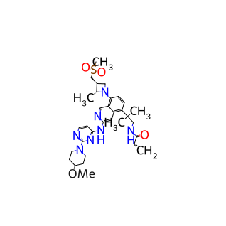 C=CC(=O)NCC(C)(C)c1ccc(N2C[C@H](CS(C)(=O)=O)[C@H]2C)c2cnc(Nc3ccnc(N4CCC(OC)CC4)n3)cc12